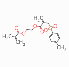 C=C(C)C(=O)OCCOC(=O)C(=C)CS(=O)(=O)c1ccc(C)cc1